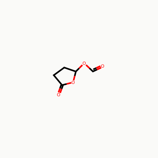 O=COC1CCC(=O)O1